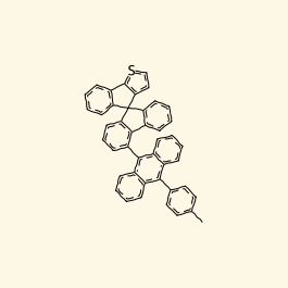 Cc1ccc(-c2c3ccccc3c(-c3cccc4c3-c3ccccc3C43c4ccccc4-c4sccc43)c3ccccc23)cc1